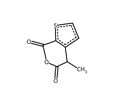 CC1C(=O)OC(=O)c2sccc21